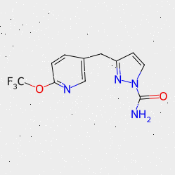 NC(=O)n1ccc(Cc2ccc(OC(F)(F)F)nc2)n1